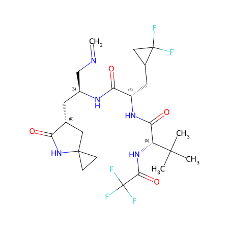 C=NC[C@H](C[C@@H]1CC2(CC2)NC1=O)NC(=O)[C@H](CC1CC1(F)F)NC(=O)[C@@H](NC(=O)C(F)(F)F)C(C)(C)C